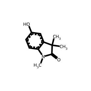 CN1C(=O)C(C)(C)c2cc(O)ccc21